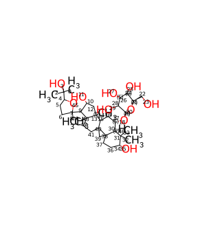 CC(C)(O)C1CCC(C)(C2C(O)C[C@@]3(C)C4C[C@H](O[C@@H]5O[C@H](CO)[C@@H](O)[C@H](O)C5O)[C@H]5C(C)(C)C(O)CCC56CC46CCC23C)O1